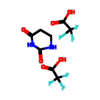 O=C(O)C(F)(F)F.O=C(O)C(F)(F)F.O=C1CCNC(=O)N1